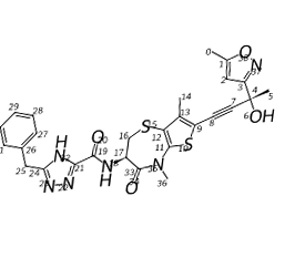 Cc1cc([C@](C)(O)C#Cc2sc3c(c2C)SC[C@H](NC(=O)c2nnc(Cc4ccccc4)[nH]2)C(=O)N3C)no1